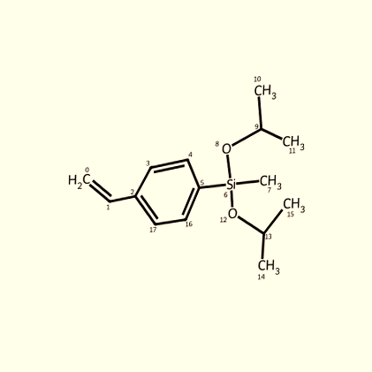 C=Cc1ccc([Si](C)(OC(C)C)OC(C)C)cc1